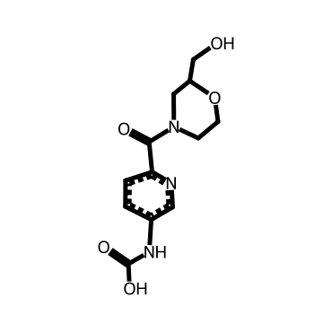 O=C(O)Nc1ccc(C(=O)N2CCOC(CO)C2)nc1